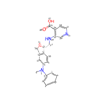 CN(c1ccccc1)c1ccc2c(c1)CO[C@@H]2CNc1cnccc1C(=O)O